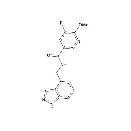 COc1ncc(C(=O)NCc2cccc3[nH]ncc23)cc1F